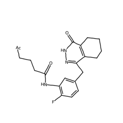 CC(=O)CCCC(=O)Nc1cc(Cc2n[nH]c(=O)c3c2CCCC3)ccc1F